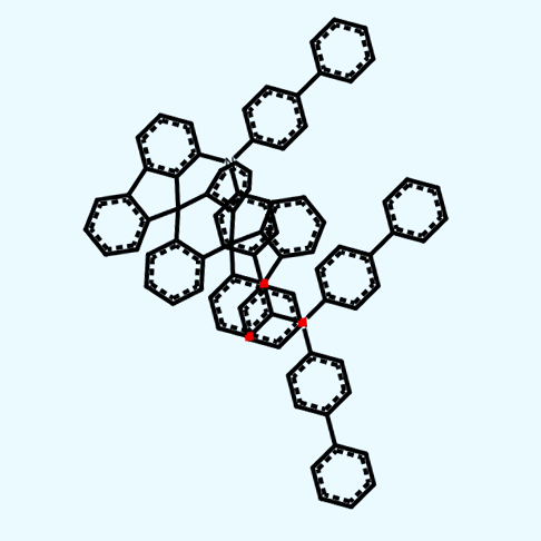 c1ccc(-c2ccc(N(c3ccc(-c4ccccc4)cc3)c3cccc4c3-c3ccccc3C43c4ccccc4C4(c5ccccc5-c5cccc(N(c6ccc(-c7ccccc7)cc6)c6ccc(-c7ccccc7)cc6)c54)c4ccccc43)cc2)cc1